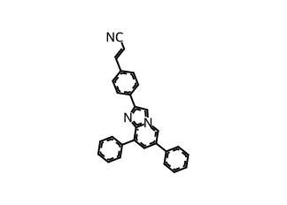 N#CC=Cc1ccc(-c2cn3cc(-c4ccccc4)cc(-c4ccccc4)c3n2)cc1